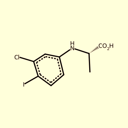 C[C@H](Nc1ccc(I)c(Cl)c1)C(=O)O